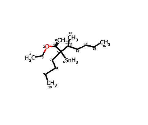 C=C(OCC)[C]([SnH3])(CCCC)C(C)CCCC